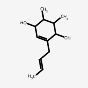 C/C=C/CC1=CC(O)C(C)C(C)C1O